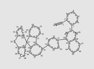 N#Cc1ccccc1-c1nc(-c2ccc(-c3cccc4c3-c3ccccc3C43c4ccccc4Sc4ccccc43)cc2)c2ccccc2n1